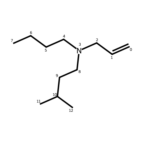 C=CCN(CCCC)CCC(C)C